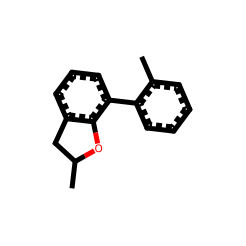 Cc1ccccc1-c1cccc2c1OC(C)C2